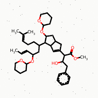 CC=CC(CC(CCC=C(C)C)C1C(OC2CCCCO2)CC2CC(C(C(=O)OC)C(O)Cc3ccccc3)=CC21)OC1CCCCO1